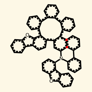 c1ccc(-c2ccccc2N(c2ccc3c4ccccc4c4ccccc4c4ccccc4c4c(ccc5c6ccccc6oc54)c3c2)c2cccc3oc4ccccc4c23)cc1